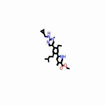 C=C1C=C(c2cc(CC)c(C3=CN(C)C(NCC4CC4)N=C3)cc2CCC(C)C)NC=C1C(=O)OCC